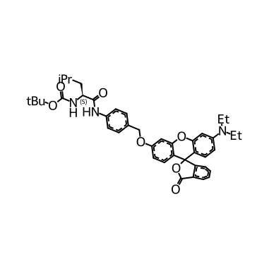 CCN(CC)c1ccc2c(c1)Oc1cc(OCc3ccc(NC(=O)[C@H](CC(C)C)NC(=O)OC(C)(C)C)cc3)ccc1C21OC(=O)c2ccccc21